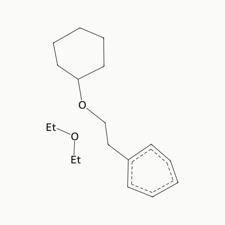 CCOCC.c1ccc(CCOC2CCCCC2)cc1